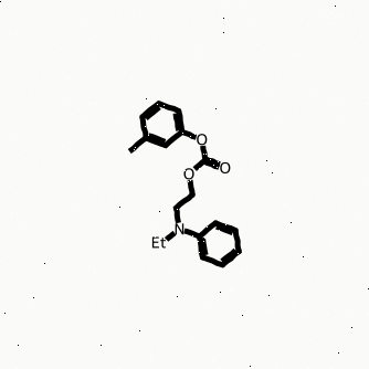 CCN(CCOC(=O)Oc1cccc(C)c1)c1ccccc1